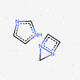 [CH]1n2ccn21.[c]1ncc[nH]1